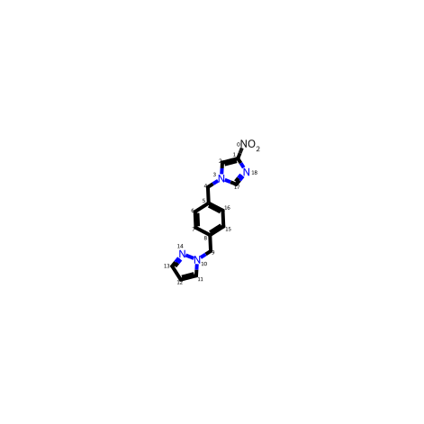 O=[N+]([O-])c1cn(Cc2ccc(Cn3cccn3)cc2)cn1